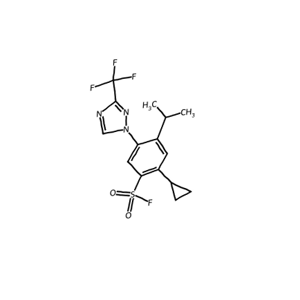 CC(C)c1cc(C2CC2)c(S(=O)(=O)F)cc1-n1cnc(C(F)(F)F)n1